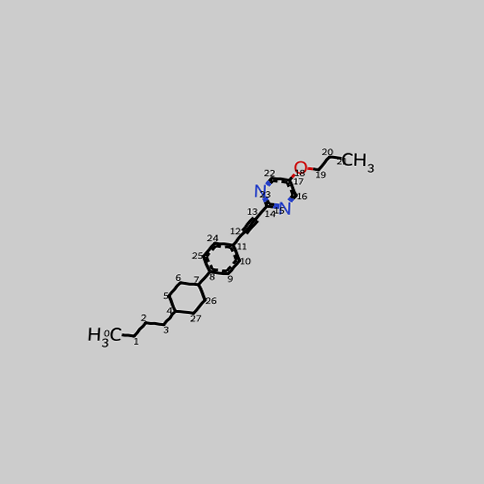 CCCCC1CCC(c2ccc(C#Cc3ncc(OCCC)cn3)cc2)CC1